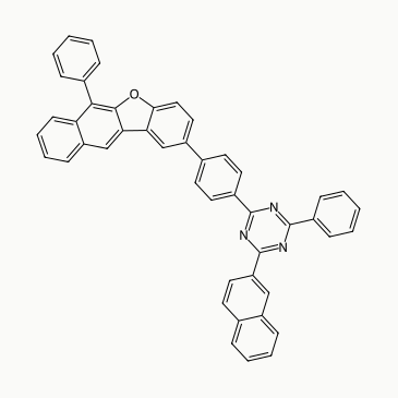 c1ccc(-c2nc(-c3ccc(-c4ccc5oc6c(-c7ccccc7)c7ccccc7cc6c5c4)cc3)nc(-c3ccc4ccccc4c3)n2)cc1